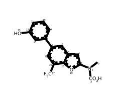 CN(C(=O)O)c1cc2cc(-c3cccc(O)c3)cc(C(F)(F)F)c2o1